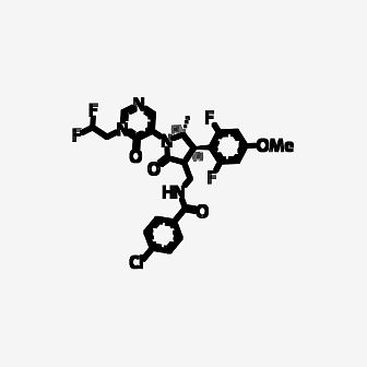 COc1cc(F)c([C@H]2C(CNC(=O)c3ccc(Cl)cc3)C(=O)N(c3cncn(CC(F)F)c3=O)[C@@H]2C)c(F)c1